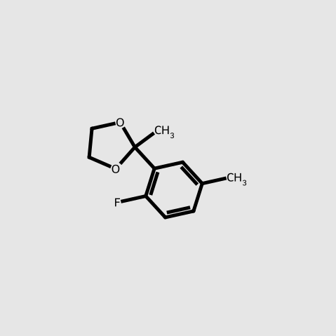 Cc1ccc(F)c(C2(C)OCCO2)c1